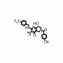 CN(C)n1c(NCc2ccc(C(F)(F)F)cc2)nc2c(c1=O)CN(C(=O)c1ccc(C#N)cc1)CC2.Cl